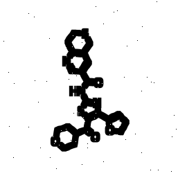 O=C(Nc1nc(C2=CCCO2)c(C(=O)C2CCOCC2)s1)c1cnc2c(c1)CSCC2